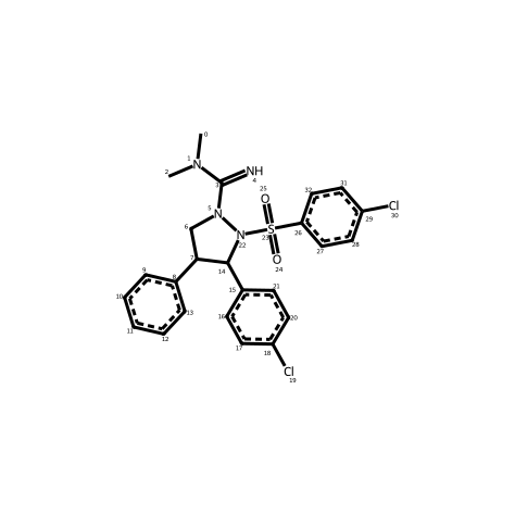 CN(C)C(=N)N1CC(c2ccccc2)C(c2ccc(Cl)cc2)N1S(=O)(=O)c1ccc(Cl)cc1